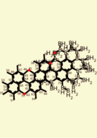 BBB(B)B(B(B)B)c1c(B(B(B)B)B(B)B)c(B(BB)B(B)B)c(B(B)B(B)B)c2c(-c3c(C)c(C)c(C)c4c(C)c5c(-c6c(C)c(C)c(C)c7c(C)c(C)c(C)c(C)c67)c(C)c(C)c(C)c5c(C)c34)c(B(B)B)c(BB)c(B)c12